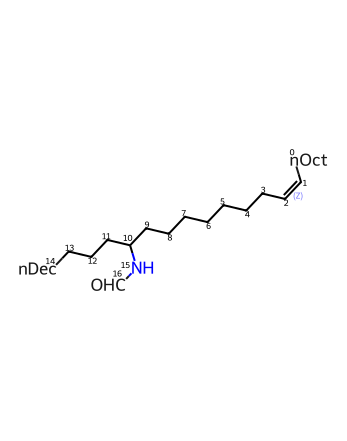 CCCCCCCC/C=C\CCCCCCCC(CCCCCCCCCCCCC)NC=O